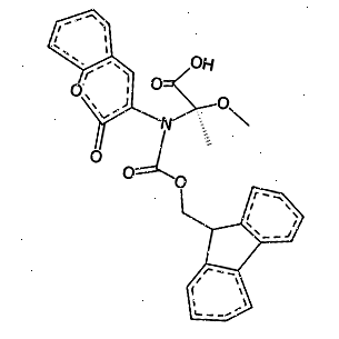 CO[C@](C)(C(=O)O)N(C(=O)OCC1c2ccccc2-c2ccccc21)c1cc2ccccc2oc1=O